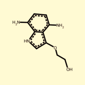 Nc1ccc(N)c2c(OCCO)c[nH]c12